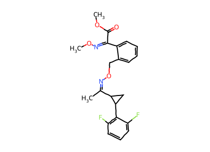 CON=C(C(=O)OC)c1ccccc1CON=C(C)C1CC1c1c(F)cccc1F